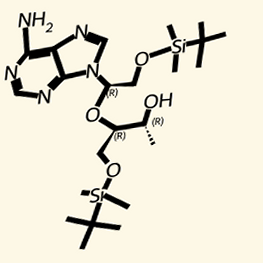 C[C@@H](O)[C@@H](CO[Si](C)(C)C(C)(C)C)O[C@H](CO[Si](C)(C)C(C)(C)C)n1cnc2c(N)ncnc21